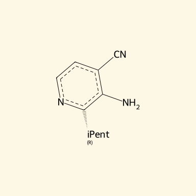 CCC[C@@H](C)c1nccc(C#N)c1N